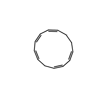 [CH]1C=CC=CC=CCC=CC=CC1